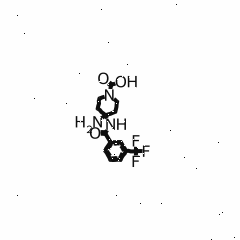 NC1(NC(=O)c2cccc(C(F)(F)F)c2)CCN(C(=O)O)CC1